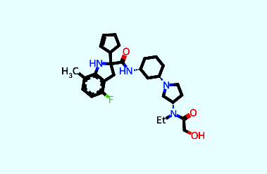 CCN(C(=O)CO)[C@H]1CCN([C@H]2CCC[C@@H](NC(=O)C3(C4C=CCC4)Cc4c(F)ccc(C)c4N3)C2)C1